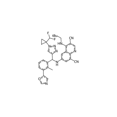 Cc1c(-c2cnco2)cccc1C(Nc1cc(C#N)c2ncc(C#N)c(NCC(C)(C)C)c2c1)c1cn(C2(C(F)F)CC2)nn1